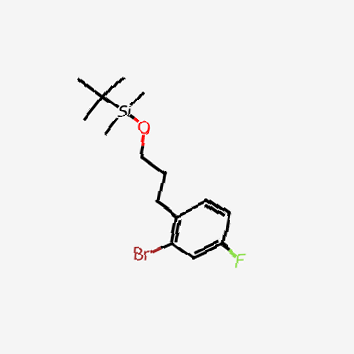 CC(C)(C)[Si](C)(C)OCCCc1ccc(F)cc1Br